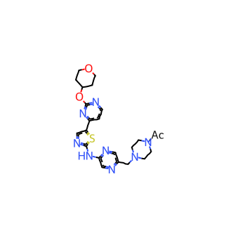 CC(=O)N1CCN(Cc2cnc(Nc3ncc(-c4ccnc(OC5CCOCC5)n4)s3)cn2)CC1